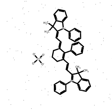 CC1(C)C(=CC=C2CCCC(C=CC3=[N+](c4ccccc4)c4ccccc4C3(C)C)=C2c2ccccc2)N(c2ccccc2)c2ccccc21.[O-][Cl+3]([O-])([O-])[O-]